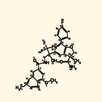 COc1cc(C(=O)NCC(O)(c2cc3c(c(-c4ccc(F)cc4)n2)OC[C@]3(C)C(N)=O)C(F)(F)F)cc2cc(C)cnc12